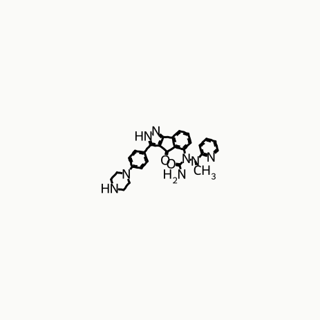 CN(c1ccccn1)N(C(N)=O)c1cccc2c1C(=O)c1c-2n[nH]c1-c1ccc(N2CCNCC2)cc1